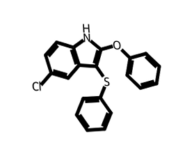 Clc1ccc2[nH]c(Oc3ccccc3)c(Sc3ccccc3)c2c1